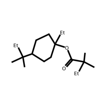 CCC1(OC(=O)C(C)(C)CC)CCC(C(C)(C)CC)CC1